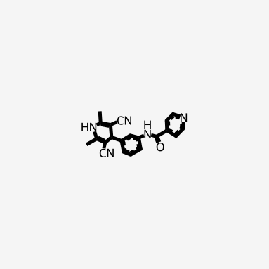 CC1=C(C#N)C(c2cccc(NC(=O)c3ccncc3)c2)C(C#N)=C(C)N1